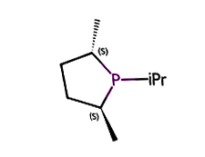 CC(C)P1[C@@H](C)CC[C@@H]1C